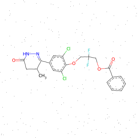 CC1CC(=O)NN=C1c1cc(Cl)c(OCC(F)(F)COC(=O)c2ccccc2)c(Cl)c1